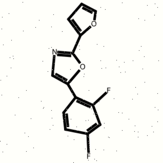 Fc1ccc(-c2cnc(-c3ccco3)o2)c(F)c1